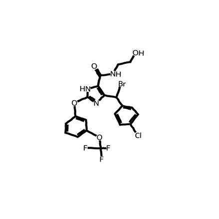 O=C(NCCO)c1[nH]c(Oc2cccc(OC(F)(F)F)c2)nc1C(Br)c1ccc(Cl)cc1